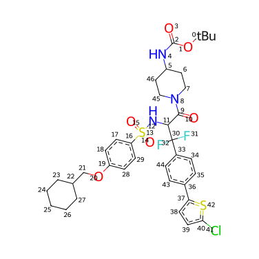 CC(C)(C)OC(=O)NC1CCN(C(=O)C(NS(=O)(=O)c2ccc(OCC3CCCCC3)cc2)C(F)(F)c2ccc(-c3ccc(Cl)s3)cc2)CC1